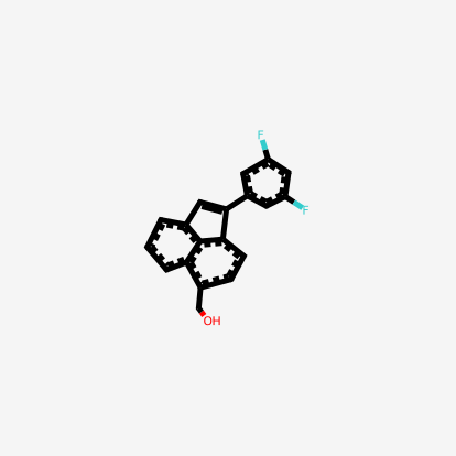 OCc1ccc2c3c(cccc13)C=C2c1cc(F)cc(F)c1